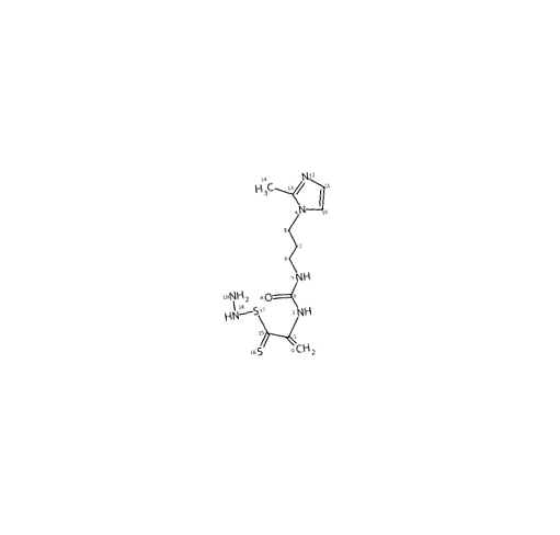 C=C(NC(=O)NCCCn1ccnc1C)C(=S)SNN